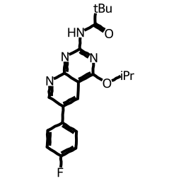 CC(C)Oc1nc(NC(=O)C(C)(C)C)nc2ncc(-c3ccc(F)cc3)cc12